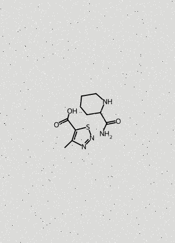 Cc1nnsc1C(=O)O.NC(=O)C1CCCCN1